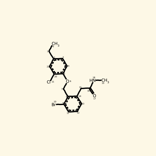 CCc1ccc(OCc2c(Br)cccc2CC(=O)NC)c(Cl)c1